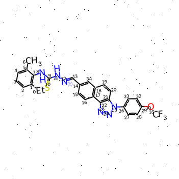 CCc1cccc(C)c1NC(=S)N/N=C/c1ccc2c(ccc3c2nnn3-c2ccc(OC(F)(F)F)cc2)c1